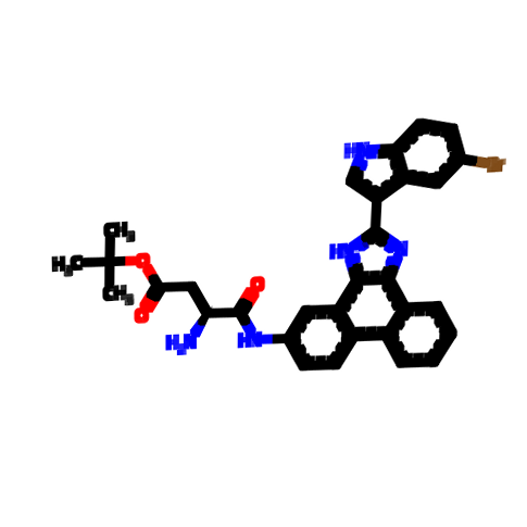 CC(C)(C)OC(=O)C[C@H](N)C(=O)Nc1ccc2c3ccccc3c3nc(-c4c[nH]c5ccc(Br)cc45)[nH]c3c2c1